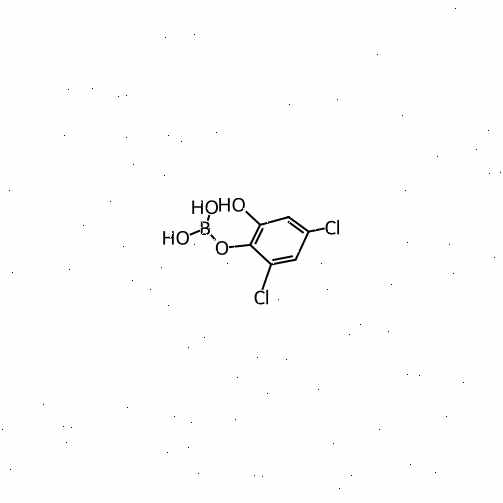 OB(O)Oc1c(O)cc(Cl)cc1Cl